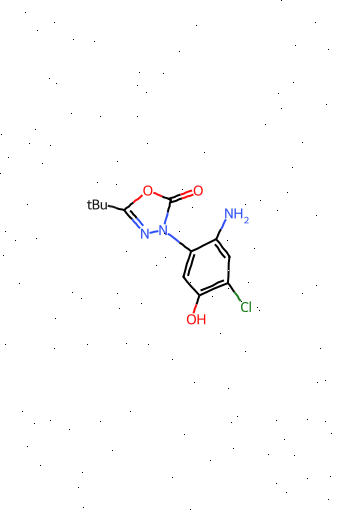 CC(C)(C)c1nn(-c2cc(O)c(Cl)cc2N)c(=O)o1